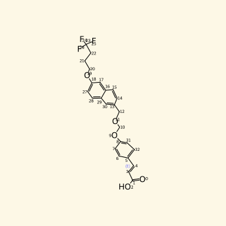 O=C(O)/C=C/c1ccc(OCOCc2ccc3cc(OCCCC(F)(F)F)ccc3c2)cc1